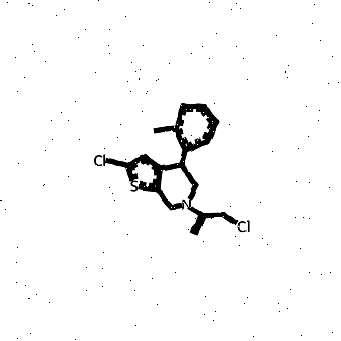 C=C(CCl)N1Cc2sc(Cl)cc2C(c2ccccc2C)C1